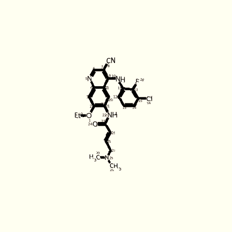 CCOc1cc2ncc(C#N)c(Nc3cccc(Cl)c3F)c2cc1NC(=O)C=CCN(C)C